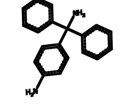 Nc1ccc(C(N)(c2ccccc2)c2ccccc2)cc1